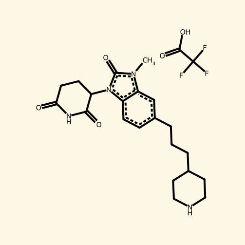 Cn1c(=O)n(C2CCC(=O)NC2=O)c2ccc(CCCC3CCNCC3)cc21.O=C(O)C(F)(F)F